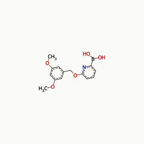 COc1cc(COc2cccc(B(O)O)n2)cc(OC)c1